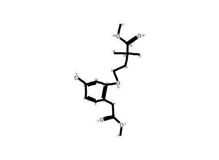 COC(=O)Cc1ccc(Cl)cc1OCCC(C)(C)C(=O)OC